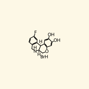 Br.Oc1cc2c(cc1O)[C@@H]1c3cc(F)ccc3CN[C@H]1CO2